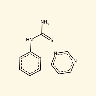 NC(=S)Nc1ccccc1.c1cncnc1